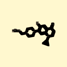 CCCCCCCCCCCN1CCN(c2cc3c(cc2F)c(=O)ccn3C2CC2)CC1